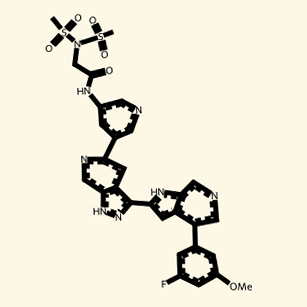 COc1cc(F)cc(-c2cncc3[nH]c(-c4n[nH]c5cnc(-c6cncc(NC(=O)CN(S(C)(=O)=O)S(C)(=O)=O)c6)cc45)cc23)c1